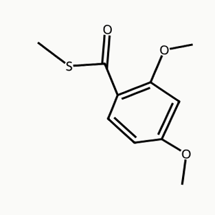 COc1ccc(C(=O)SC)c(OC)c1